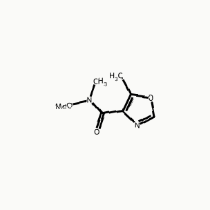 CON(C)C(=O)c1ncoc1C